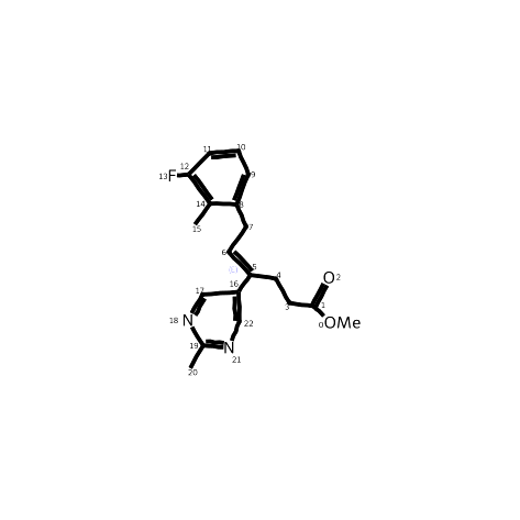 COC(=O)CC/C(=C\Cc1cccc(F)c1C)c1cnc(C)nc1